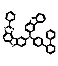 c1ccc(-c2nc3c(ccc4oc5ccc(N(c6ccc(-c7ccccc7-c7ccccc7)cc6)c6ccc7oc8ccccc8c7c6)cc5c43)s2)cc1